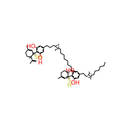 C=C(C)[C@H]1CCC(C)=C[C@@]1(S)c1c(O)cc(CCC[Si](C)(C)CCCCCCCC(=C)[C@H]2CCC(C)=C[C@@]2(S)c2c(O)cc(CC[Si](C)(C)CCCCCC)cc2O)cc1O